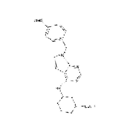 COc1ccc(Cn2ccc3c(NC4CCCN(C(=O)O)C4)ccnc32)cc1